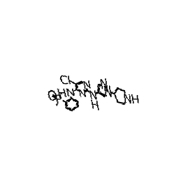 CP(C)(=O)c1ccccc1Nc1nc(Nc2cnn(C3CCNCC3)c2)ncc1Cl